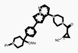 COC1(c2ccc(-c3cc4c(N5CCN(C(=O)C6C[C@@H]6C#N)CC5)ccnn4c3)cc2)CCN(C(C)C)CC1